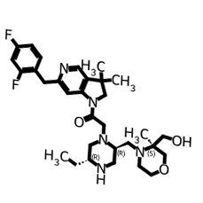 CC[C@@H]1CN(CC(=O)N2CC(C)(C)c3cnc(Cc4ccc(F)cc4F)cc32)[C@@H](CN2CCOC[C@]2(C)CO)CN1